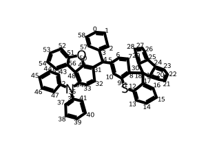 c1ccc(C(c2ccc3c(c2)Sc2ccccc2C32c3ccccc3-c3ccccc32)c2ccc(N(c3ccccc3)c3ccccc3)c3c2oc2ccccc23)cc1